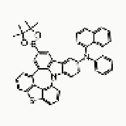 CC1(C)OB(c2cc3c4cccc5sc6cccc(c6c54)n4c5ccc(N(c6ccccc6)c6cccc7ccccc67)cc5c(c2)c34)OC1(C)C